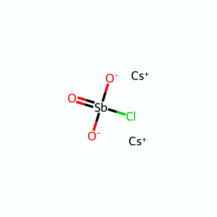 [Cs+].[Cs+].[O]=[Sb]([O-])([O-])[Cl]